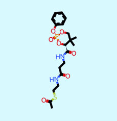 CC(=O)SCCNC(=O)CCNC(=O)[C@@H]1O[P@](=O)(Oc2ccccc2)OCC1(C)C